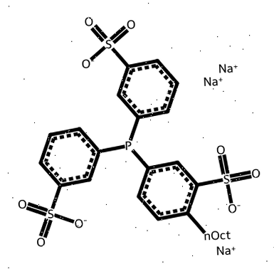 CCCCCCCCc1ccc(P(c2cccc(S(=O)(=O)[O-])c2)c2cccc(S(=O)(=O)[O-])c2)cc1S(=O)(=O)[O-].[Na+].[Na+].[Na+]